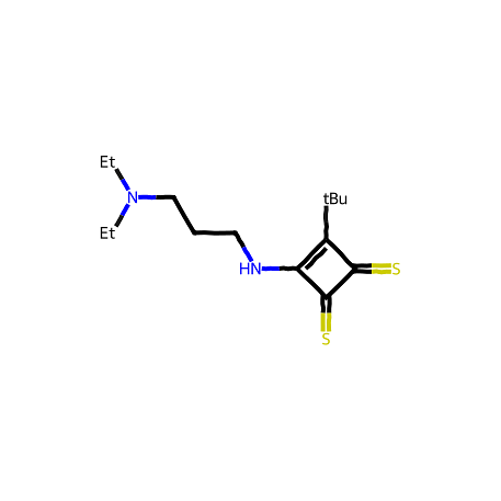 CCN(CC)CCCNc1c(C(C)(C)C)c(=S)c1=S